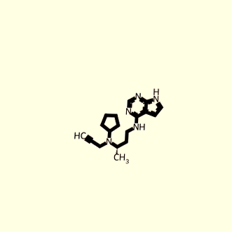 C#CCN(C1CCCC1)[C@@H](C)CCNc1ncnc2[nH]ccc12